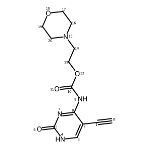 C#Cc1c[nH]c(=O)nc1NC(=O)OCCN1CCOCC1